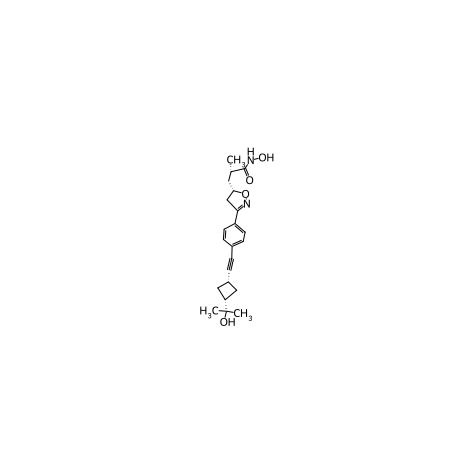 C[C@@H](C[C@H]1CC(c2ccc(C#C[C@H]3C[C@@H](C(C)(C)O)C3)cc2)=NO1)C(=O)NO